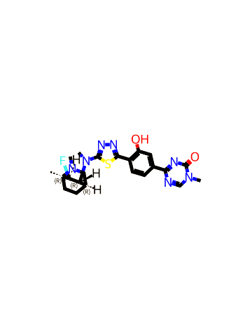 CN(c1nnc(-c2ccc(-c3ncn(C)c(=O)n3)cc2O)s1)[C@@H]1[C@@H]2CC[C@](C)([C@H]1F)N(C)C2